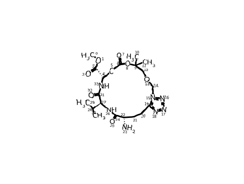 COC(=O)[C@@H]1CC(=O)OC(C)(C)COCn2nnnc2CC[C@H](N)C(=O)N[C@@H](C(C)C)C(=O)N1